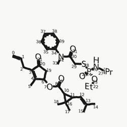 C=CCC1=C(C)C(OC(=O)C2C(C=C(C)C)C2(C)C)CC1=O.CCOP(=O)(NC(C)C)SCC(=O)N(C)c1ccccc1